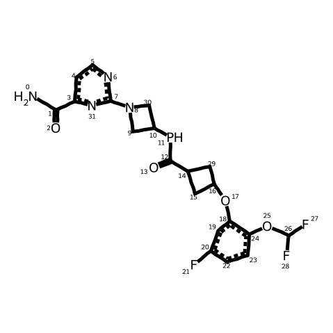 NC(=O)c1ccnc(N2CC(PC(=O)C3CC(Oc4cc(F)ccc4OC(F)F)C3)C2)n1